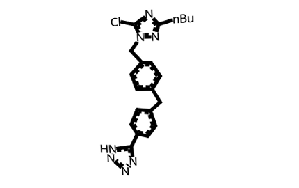 CCCCc1nc(Cl)n(Cc2ccc(Cc3ccc(-c4nnn[nH]4)cc3)cc2)n1